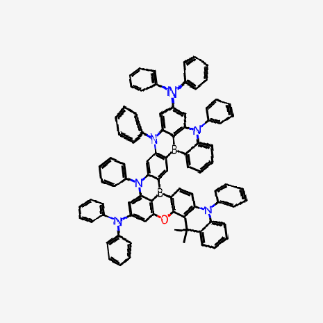 CC1(C)c2ccccc2N(c2ccccc2)c2ccc3c(c21)Oc1cc(N(c2ccccc2)c2ccccc2)cc2c1B3c1cc3c(cc1N2c1ccccc1)N(c1ccccc1)c1cc(N(c2ccccc2)c2ccccc2)cc2c1B3c1ccccc1N2c1ccccc1